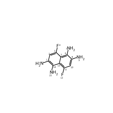 Nc1cc(F)c2c(N)c(N)cc(F)c2c1N